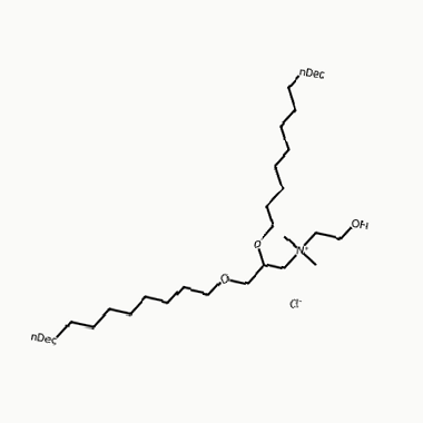 CCCCCCCCCCCCCCCCCCOCC(C[N+](C)(C)CCO)OCCCCCCCCCCCCCCCCCC.[Cl-]